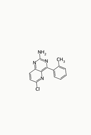 Cc1ccccc1-c1nc(N)nc2ccc(Cl)nc12